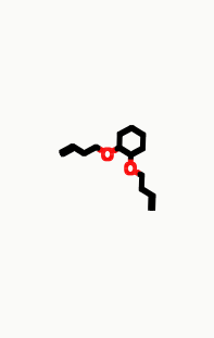 C=CCCOC1CCCCC1OCCC=C